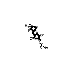 COCOCc1cc(Cl)c(Cc2cccc(C)c2F)cc1Br